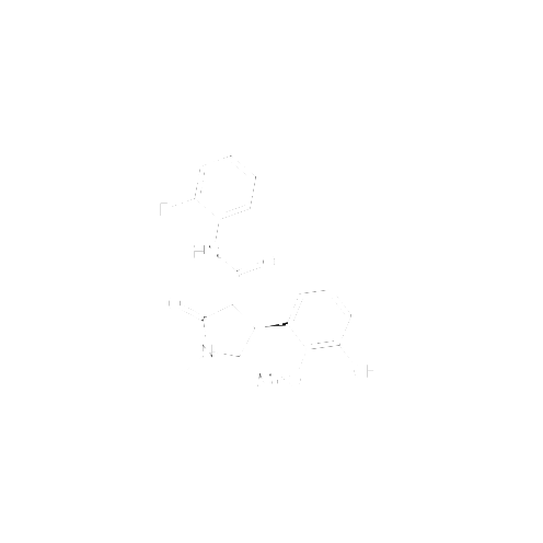 COc1c([C@H]2CN(C)C(=O)[C@@H]2C(=O)Nc2ccccc2F)cccc1C(F)(F)F